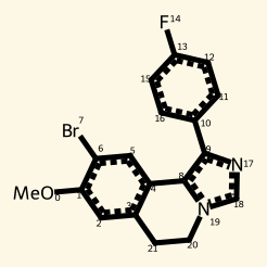 COc1cc2c(cc1Br)-c1c(-c3ccc(F)cc3)ncn1CC2